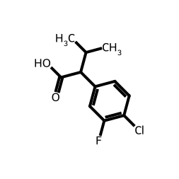 CC(C)C(C(=O)O)c1ccc(Cl)c(F)c1